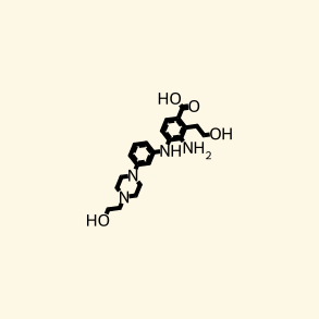 Nc1c(Nc2cccc(N3CCN(CCO)CC3)c2)ccc(C(=O)O)c1CCO